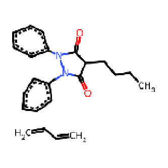 C=CC=C.CCCCC1C(=O)N(c2ccccc2)N(c2ccccc2)C1=O